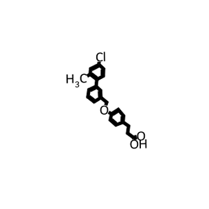 Cc1cc(Cl)ccc1-c1cccc(COc2ccc(CCC(=O)O)cc2)c1